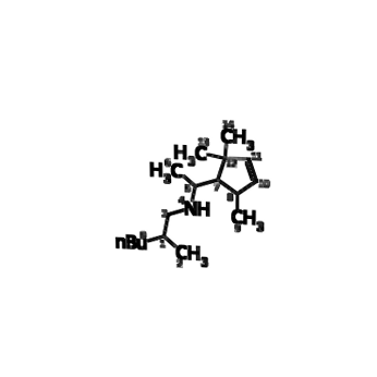 CCCCC(C)CNC(C)C1C(C)C=CC1(C)C